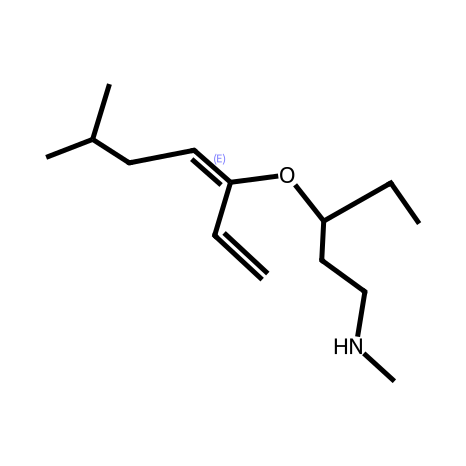 C=C/C(=C\CC(C)C)OC(CC)CCNC